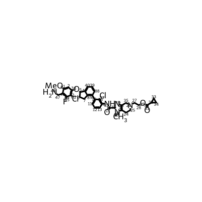 COc1cc(OC2CCc3c(-c4cccc(NC(=O)c5nc6c(n5C)CCN(CCOC(=O)C5CC5)C6)c4Cl)cccc32)c(Cl)c(F)c1CN